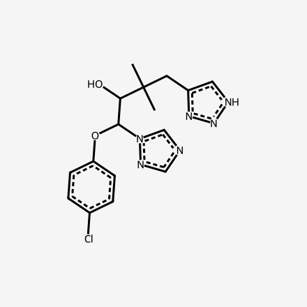 CC(C)(Cc1c[nH]nn1)C(O)C(Oc1ccc(Cl)cc1)n1cncn1